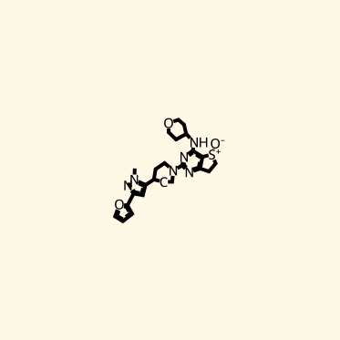 Cn1nc(-c2ccco2)cc1C1CCN(c2nc3c(c(NC4CCOCC4)n2)[S+]([O-])CC3)CC1